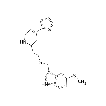 CSc1ccc2[nH]cc(CSCCC3CC(c4cccs4)=CCN3)c2c1